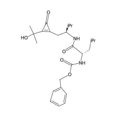 CC(C)C[C@H](NC(=O)OCc1ccccc1)C(=O)N[C@@H](Cc1c(C(C)(C)O)c1=O)C(C)C